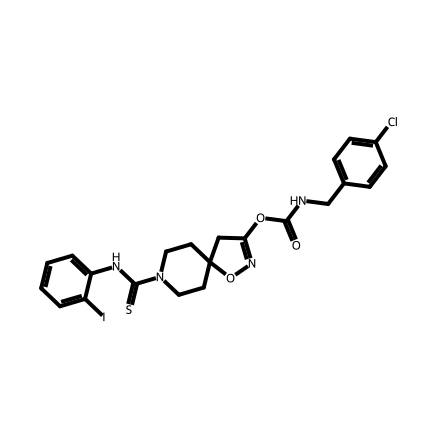 O=C(NCc1ccc(Cl)cc1)OC1=NOC2(CCN(C(=S)Nc3ccccc3I)CC2)C1